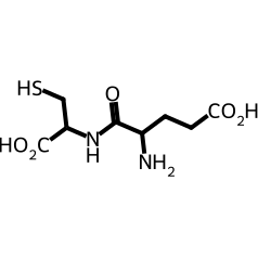 NC(CCC(=O)O)C(=O)NC(CS)C(=O)O